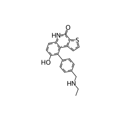 CCNCc1ccc(-c2c(O)ccc3[nH]c(=O)c4sccc4c23)cc1